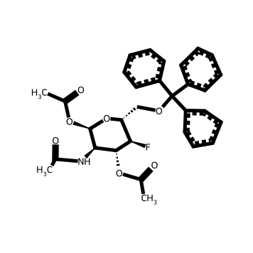 CC(=O)N[C@H]1[C@@H](OC(C)=O)O[C@H](COC(c2ccccc2)(c2ccccc2)c2ccccc2)[C@@H](F)[C@@H]1OC(C)=O